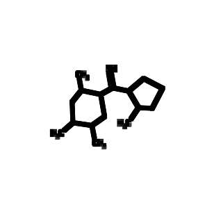 CC1CC(C)C(C(=N)C2CCCC2C)CC1C